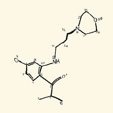 CC(C)C(=O)c1ccc(Cl)cc1NCCCN1CCOCC1